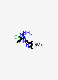 C=CCc1c(Cl)nc(N)nc1NCc1ncc(C)c(OC)c1C